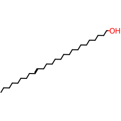 CCCCCCCCC=CCCCCCCCCCCCCCCCCO